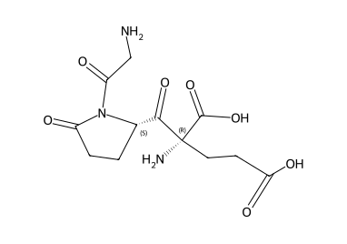 NCC(=O)N1C(=O)CC[C@H]1C(=O)[C@](N)(CCC(=O)O)C(=O)O